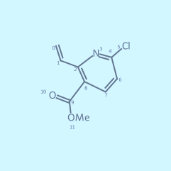 C=Cc1nc(Cl)ccc1C(=O)OC